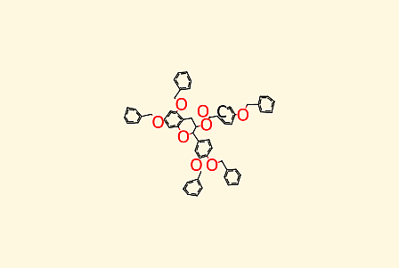 O=C(OC1Cc2c(OCc3ccccc3)cc(OCc3ccccc3)cc2OC1c1ccc(OCc2ccccc2)c(OCc2ccccc2)c1)c1ccc(OCc2ccccc2)cc1